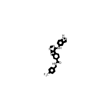 O=C(NCc1ccc(C(F)(F)F)cc1)C1CCc2c(sc3ncnc(Nc4ccc5[nH]ncc5c4)c23)C1